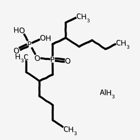 CCCCC(CC)CP(=O)(CC(CC)CCCC)OP(=O)(O)O.[AlH3]